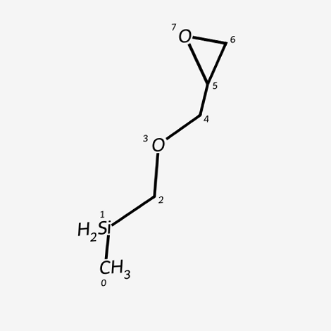 C[SiH2]COCC1CO1